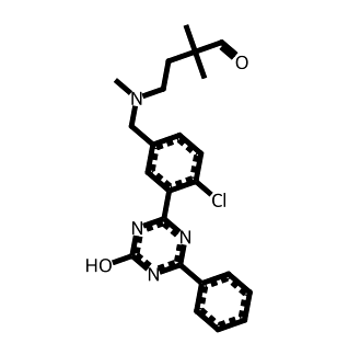 CN(CCC(C)(C)C=O)Cc1ccc(Cl)c(-c2nc(O)nc(-c3ccccc3)n2)c1